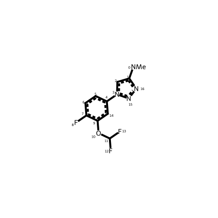 CNc1cn(-c2ccc(F)c(OC(F)F)c2)nn1